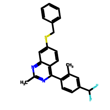 Cc1nc(-c2ccc(C(F)F)cc2C)c2ccc(SCc3ccccc3)cc2n1